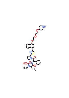 CC(C(=O)N[C@H](C(=O)N1CCCC1c1nc(-c2ccc(OCCOCCOC3CCNCC3)c3ccccc23)cs1)C1CCCCC1)N(C)C(=O)O